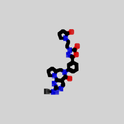 CCNc1ncc2c(n1)N1CCCC1CN(c1cccc(-c3nn(CCN4CCCC4=O)c(=O)o3)c1)C2=O